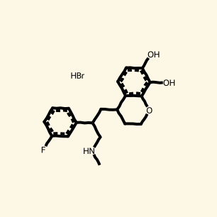 Br.CNCC(CC1CCOc2c1ccc(O)c2O)c1cccc(F)c1